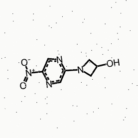 O=[N+]([O-])c1cnc(N2CC(O)C2)cn1